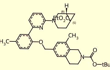 CCOC(=O)[C@@]12CCN(c3cccc(-c4cc(C)ccc4OCc4cc(C)c5c(c4)CCN(C(=O)OC(C)(C)C)C5)n3)C[C@@H]1C2